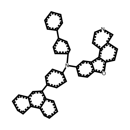 c1ccc(-c2ccc(N(c3ccc(-c4cc5ccccc5c5ccccc45)cc3)c3ccc4oc5ccc6cnccc6c5c4c3)cc2)cc1